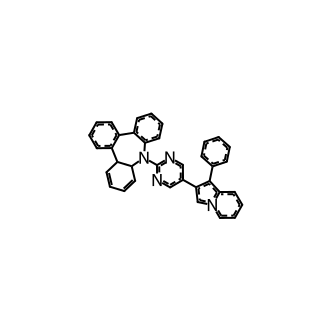 C1=CC2c3ccccc3-c3ccccc3N(c3ncc(-c4cn5ccccc5c4-c4ccccc4)cn3)C2C=C1